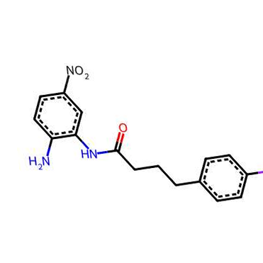 Nc1ccc([N+](=O)[O-])cc1NC(=O)CCCc1ccc(I)cc1